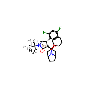 C[S+]([O-])CC1(C2CCCCC2)CC2CCC(C1)N2C(=O)C1CN(C(C)(C)C)C[C@H]1c1ccc(F)cc1F